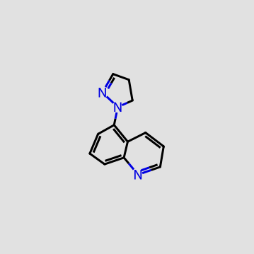 C1=NN(c2cccc3ncccc23)CC1